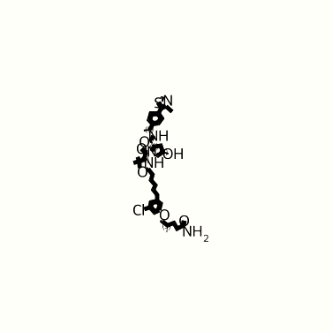 Cc1ncsc1-c1ccc([C@H](C)NC(=O)[C@@H]2C[C@@H](O)CN2C(=O)[C@@H](NC(=O)CCCCCc2cc(Cl)cc(OC[C@@H](C)CCC(N)=O)c2)C(C)(C)C)cc1